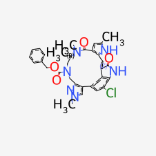 Cc1cc2c([nH]1)/C=C1\C(=O)Nc3c(Cl)cc(cc31)-c1cn(C)nc1CN(C(=O)OCc1ccccc1)C[C@@H](C)N(C)C2=O